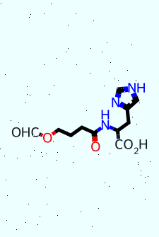 O=COCCCC(=O)NC(Cc1c[nH]cn1)C(=O)O